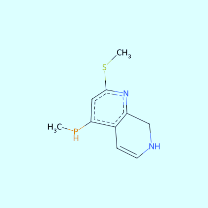 CPc1cc(SC)nc2c1C=CNC2